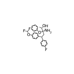 CC(O)C(N)(CC(c1ccc(F)cc1)c1ccc(OC(F)F)cc1)Oc1ccccc1